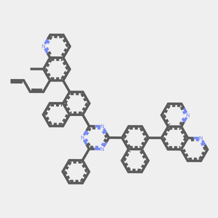 C=C/C=C\c1c(-c2ccc(-c3nc(-c4ccccc4)nc(-c4ccc(-c5cc6cccnc6c6ncccc56)c5ccccc45)n3)c3ccccc23)cc2cccnc2c1C